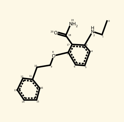 CCNc1cccc(OCCc2ccccc2)c1C(N)=O